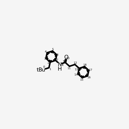 CC(C)(C)Cc1ccccc1NC(=O)CCc1ccccc1